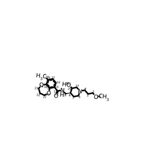 COCCCN1CC[C@@H](CNC(=O)c2ccc(C)c3c2OCCCO3)C(O)C1